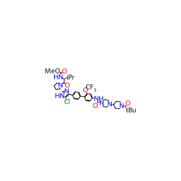 COC(=O)N[C@H](C(=O)N1C[C@@H](C)C[C@H]1c1nc(-c2ccc(-c3ccc(NC(=O)N4CCN(C5CCN(C(=O)C(C)(C)C)CC5)CC4)cc3OC(F)(F)F)cc2)c(Cl)[nH]1)C(C)C